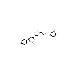 Cc1cccc(OCC(O)Cn2cc([C@@H]3CC(O)(c4ccc(C(F)(F)F)cc4)C[C@H](C)N3)nn2)c1